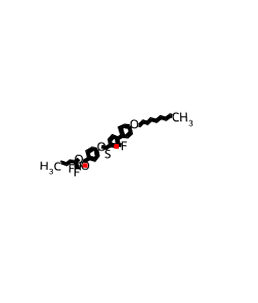 CCCCCCCCCOc1ccc(-c2ccc(C(=S)Oc3ccc(C(=O)OC(CCCC)C(F)(F)F)cc3)cc2F)cc1